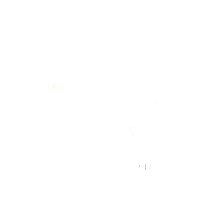 CCOC(=S)c1cc2cccc(Cl)c2s1